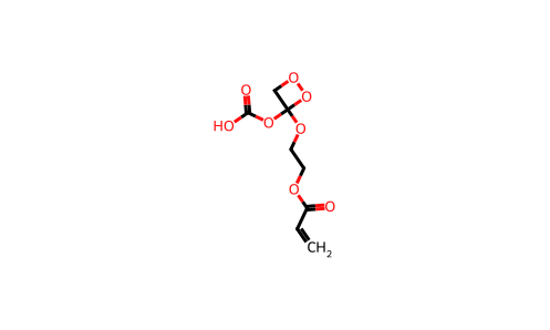 C=CC(=O)OCCOC1(OC(=O)O)COO1